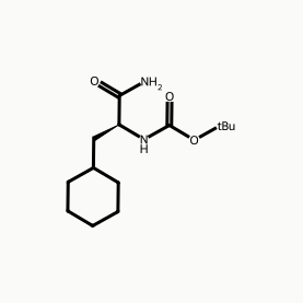 CC(C)(C)OC(=O)N[C@@H](CC1CCCCC1)C(N)=O